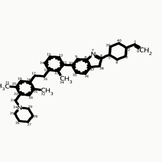 C=CC1CCC(C2=Nc3cc(-c4cccc(CCc5cc(C)c(CN6CCCCC6)cc5C)c4C)ccc3C2)CC1